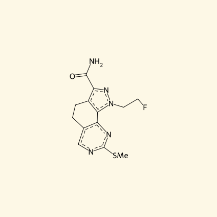 CSc1ncc2c(n1)-c1c(c(C(N)=O)nn1CCF)CC2